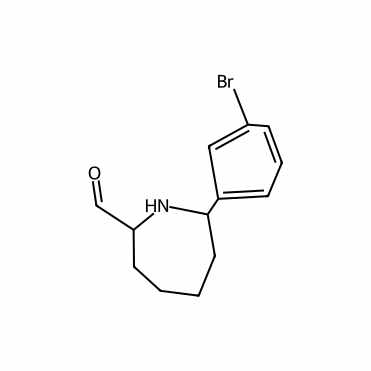 O=CC1CCCCC(c2cccc(Br)c2)N1